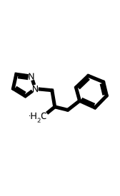 [CH2]C(Cc1ccccc1)Cn1cccn1